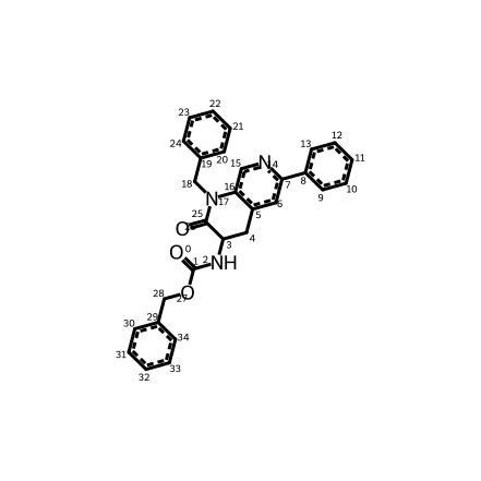 O=C(NC1Cc2cc(-c3ccccc3)ncc2N(Cc2ccccc2)C1=O)OCc1ccccc1